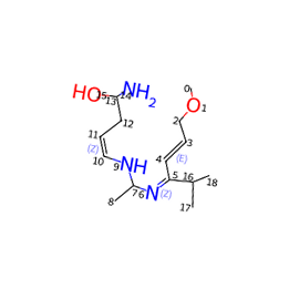 COC/C=C/C(=N\C(C)N/C=C\CC(N)O)C(C)C